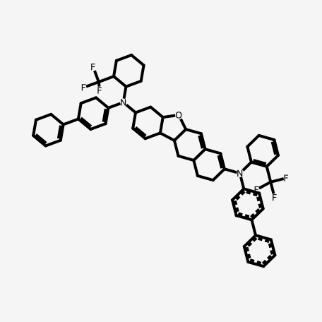 FC(F)(F)C1=C(N(C2=CC3=CC4OC5CC(N(C6=CC=C(C7=CC=CCC7)CC6)C6CCCCC6C(F)(F)F)C=CC5C4CC3CC2)c2ccc(-c3ccccc3)cc2)CCC=C1